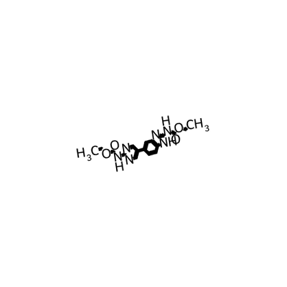 CCOC(=O)Nc1ncc(-c2ccc3[nH]c(NC(=O)OCC)nc3c2)cn1